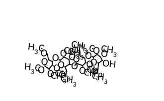 COCC1OC(OC2C(COC)OC(OC3C(COC)OC(OC4C(COC)OC(OC)C(OC)[C@@H]4OC)C(OC)[C@@H]3OC)C(OC)[C@@H]2OC)C(OC)[C@H](OC)C1O